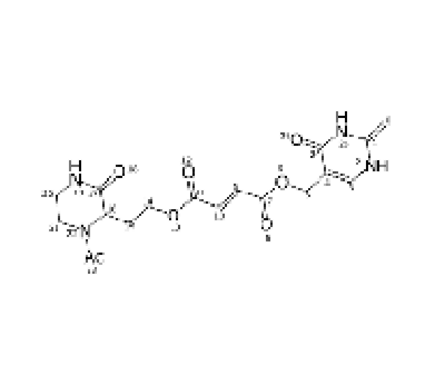 C=C1NC=C(COC(=O)/C=C/C(=O)OCCC2C(=O)NCCN2C(C)=O)C(=O)N1